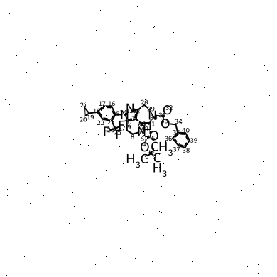 CC(C)(C)OC(=O)N1CCc2c3c(nn2-c2ccc(C4CC4)cc2C(F)(F)F)CCN(C(=O)OCc2ccccc2)C[C@@H]31